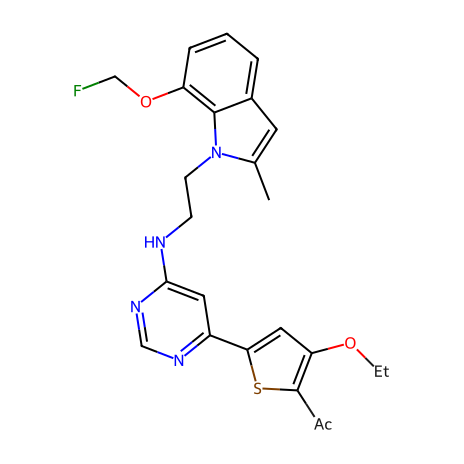 CCOc1cc(-c2cc(NCCn3c(C)cc4cccc(OCF)c43)ncn2)sc1C(C)=O